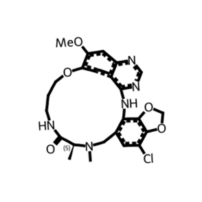 COc1cc2ncnc3c2cc1OCCCNC(=O)[C@H](C)N(C)Cc1cc(Cl)c2c(c1N3)OCO2